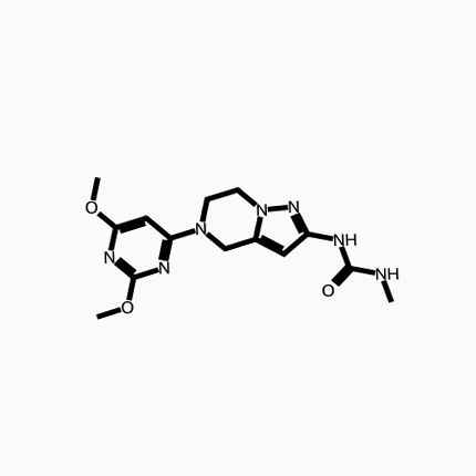 CNC(=O)Nc1cc2n(n1)CCN(c1cc(OC)nc(OC)n1)C2